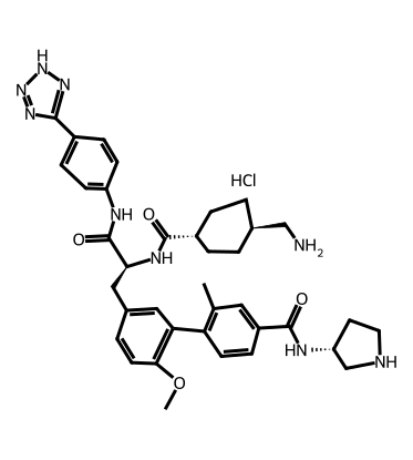 COc1ccc(C[C@H](NC(=O)[C@H]2CC[C@H](CN)CC2)C(=O)Nc2ccc(-c3nn[nH]n3)cc2)cc1-c1ccc(C(=O)N[C@@H]2CCNC2)cc1C.Cl